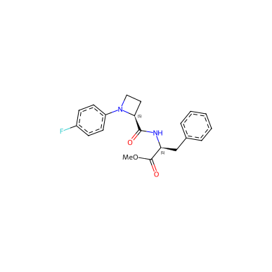 COC(=O)[C@H](Cc1ccccc1)NC(=O)[C@@H]1CCN1c1ccc(F)cc1